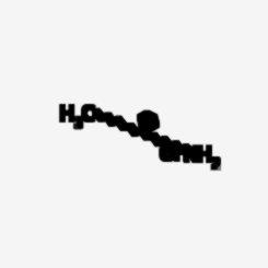 CCCCCCCCCCCCCCC(O)CCCN.c1ccccc1